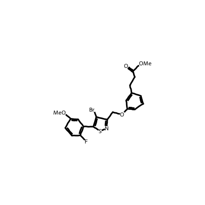 COC(=O)CCc1cccc(OCc2nsc(-c3cc(OC)ccc3F)c2Br)c1